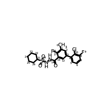 Cc1cc(-c2cccc(F)c2Cl)cc(C(=O)NNS(=O)(=O)C2CCCCC2)c1F